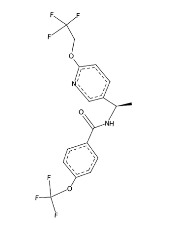 C[C@@H](NC(=O)c1ccc(OC(F)(F)F)cc1)c1ccc(OCC(F)(F)F)nc1